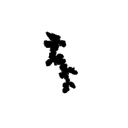 c1ccc(-c2nc(-c3cccc4ccccc34)nc(-n3c4ccccc4c4cc(-c5ccc6c(c5)c5c7cccc8c7c(cc5n6-c5ccccc5)Oc5cc(-c6ccc(C7N=C(n9c%10ccccc%10c%10cc(-c%11ccc%12c(c%11)c%11c%13cccc%14c%13c(cc%11n%12-c%11ccccc%11)Oc%11ccccc%11-%14)ccc%109)N=C(c9ccc%10ccccc%10c9)N7)cc6)ccc5-8)ccc43)n2)cc1